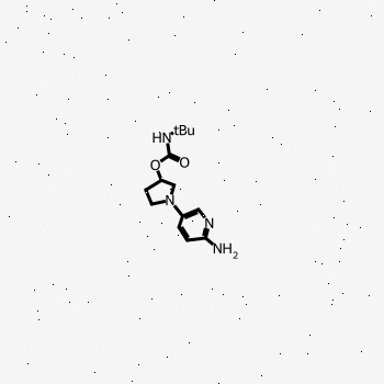 CC(C)(C)NC(=O)OC1CCN(c2ccc(N)nc2)C1